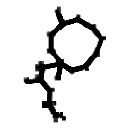 CC1CCCCCCC(C)(NC(C)CNN)CC1